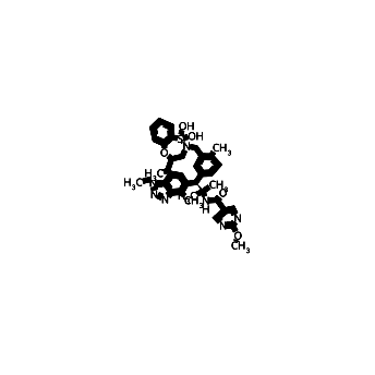 CCC1CN(Cc2cc([C@@H](c3ccc4c(nnn4CC)c3C)C(C)(C)NC(=O)c3cnc(OC)nc3)ccc2C)S(O)(O)c2ccccc2O1